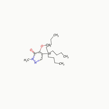 CCC[CH2][Sn]([CH2]CCC)([CH2]CCC)[c]1cnn(C)c(=O)c1OC